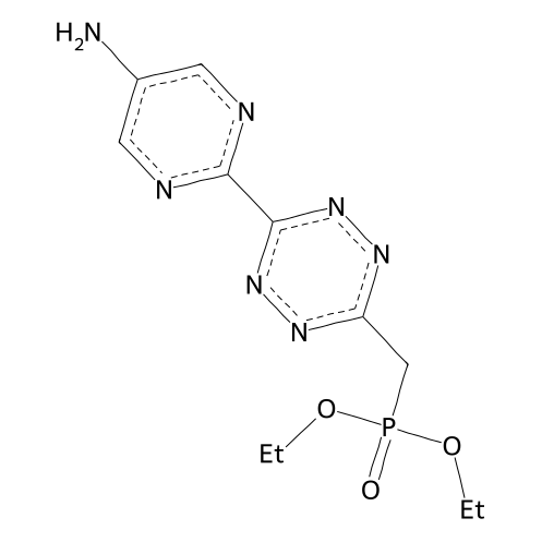 CCOP(=O)(Cc1nnc(-c2ncc(N)cn2)nn1)OCC